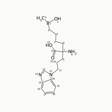 CB(O)CCCCC(N)(CCCn1cnc2ccccc21)C(=O)O